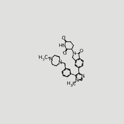 CN1CCN(Cc2cccc(-c3c(-c4ccc5c(c4)CN(C4CCC(=O)NC4=O)C5=O)ncn3C)c2)CC1